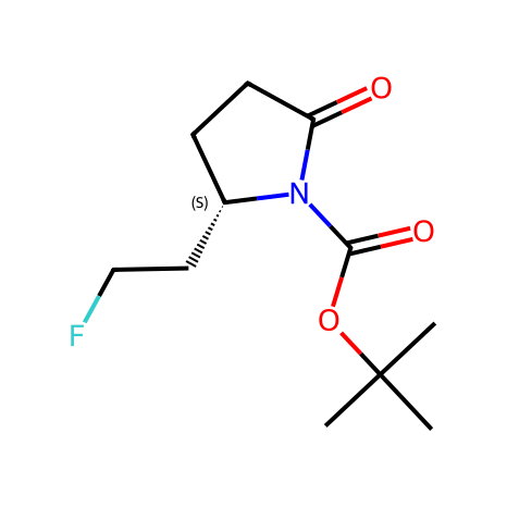 CC(C)(C)OC(=O)N1C(=O)CC[C@H]1CCF